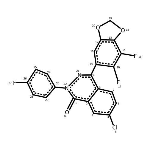 O=c1c2cc(Cl)ccc2c(-c2cc3c(c(F)c2F)OCO3)nn1-c1ccc(F)cc1